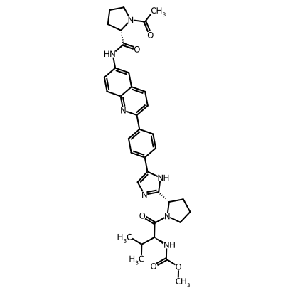 COC(=O)N[C@H](C(=O)N1CCC[C@H]1c1ncc(-c2ccc(-c3ccc4cc(NC(=O)[C@@H]5CCCN5C(C)=O)ccc4n3)cc2)[nH]1)C(C)C